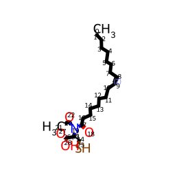 CCCCCCCC/C=C\CCCCCCCC(=O)N(C(C)=O)[C@@H](CS)C(=O)O